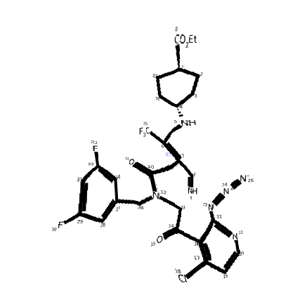 CCOC(=O)[C@H]1CC[C@H](N/C(=C(\C=N)C(=O)N(CC(=O)c2c(Cl)ccnc2N=[N+]=[N-])Cc2cc(F)cc(F)c2)C(F)(F)F)CC1